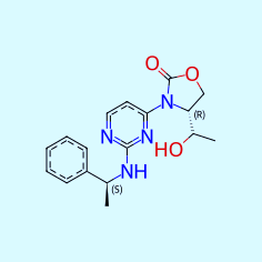 CC(O)[C@H]1COC(=O)N1c1ccnc(N[C@@H](C)c2ccccc2)n1